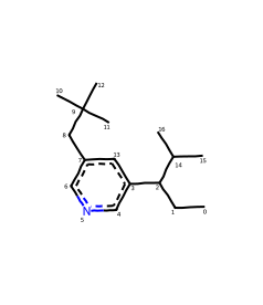 CCC(c1cncc(CC(C)(C)C)c1)C(C)C